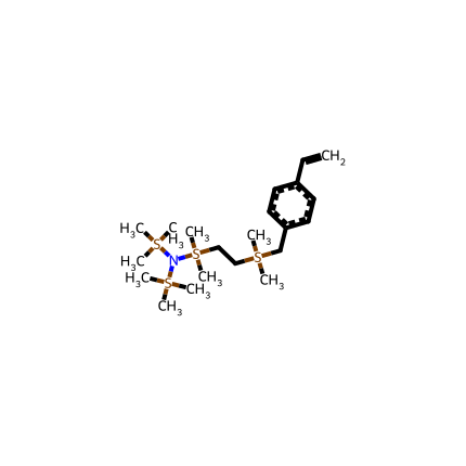 C=Cc1ccc(CS(C)(C)CCS(C)(C)N(S(C)(C)C)S(C)(C)C)cc1